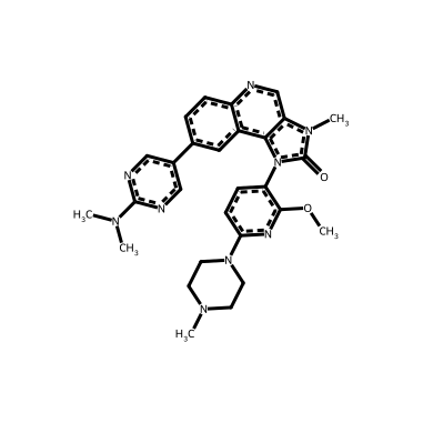 COc1nc(N2CCN(C)CC2)ccc1-n1c(=O)n(C)c2cnc3ccc(-c4cnc(N(C)C)nc4)cc3c21